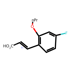 CCCOc1cc(F)ccc1/C=C/C(=O)O